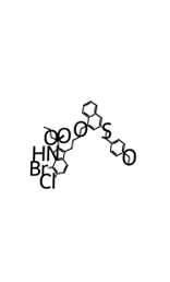 CCOC(=O)c1[nH]c2c(Br)c(Cl)ccc2c1CCCOc1cc(SCc2ccc(OC)cc2)cc2ccccc12